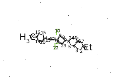 CCC1CCC2CC(c3cc(F)c(C#Cc4ccc(C)cc4)c(F)c3)CCC2C1